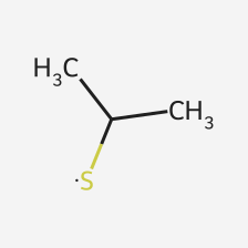 CC(C)[S]